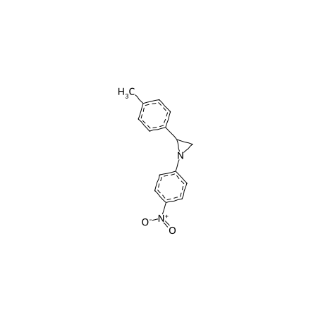 Cc1ccc(C2CN2c2ccc([N+](=O)[O-])cc2)cc1